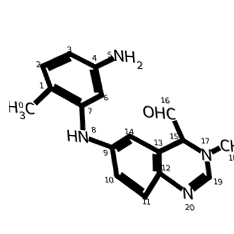 Cc1ccc(N)cc1Nc1ccc2c(c1)C(C=O)N(C)C=N2